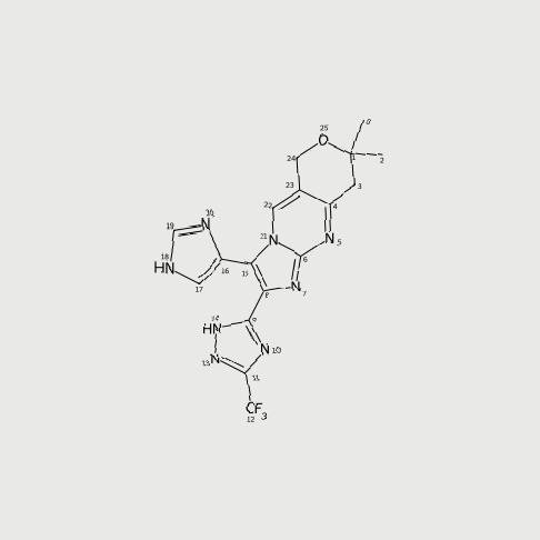 CC1(C)Cc2nc3nc(-c4nc(C(F)(F)F)n[nH]4)c(-c4c[nH]cn4)n3cc2CO1